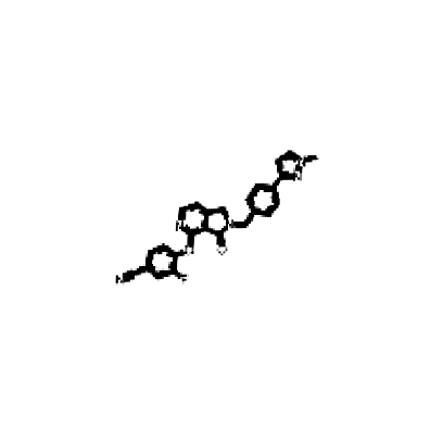 Cn1ccc(-c2ccc(CN3Cc4ccnc(Oc5ccc(C#N)cc5F)c4C3=O)cc2)n1